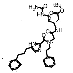 CC(C)(C)OC(=O)C[C@@H](/C=N/NC(N)=O)NC(=O)CN(CCc1ccccc1)C(=O)c1ncc(CCCc2ccccc2)[nH]1